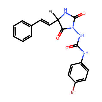 CCC1(C=Cc2ccccc2)NC(=O)N(NC(=O)Nc2ccc(Br)cc2)C1=O